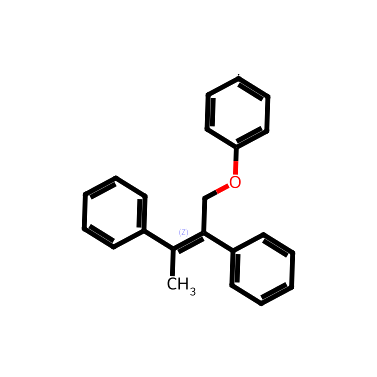 C/C(=C(/COc1cc[c]cc1)c1ccccc1)c1ccccc1